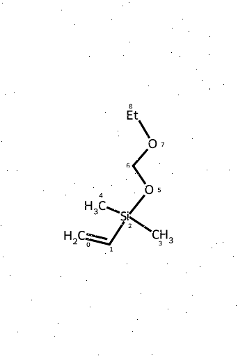 C=C[Si](C)(C)OCOCC